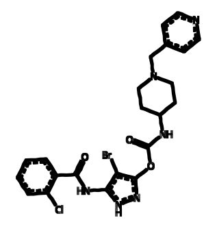 O=C(NC1CCN(Cc2ccncc2)CC1)Oc1n[nH]c(NC(=O)c2ccccc2Cl)c1Br